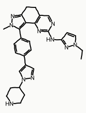 CCn1ccc(Nc2ncc3c(n2)-c2c(nn(C)c2-c2ccc(-c4cnn(C5CCNCC5)c4)cc2)CC3)n1